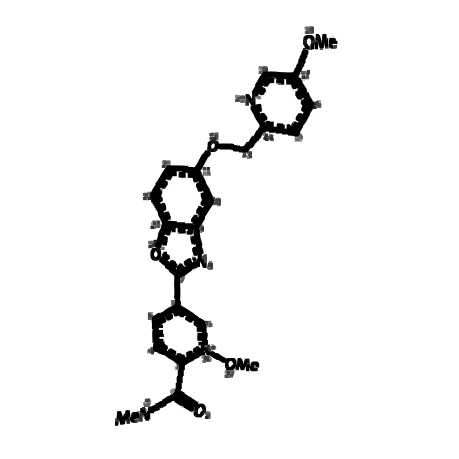 CNC(=O)c1ccc(-c2nc3cc(OCc4ccc(OC)cn4)ccc3o2)c[n+]1OC